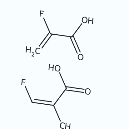 C=C(F)C(=O)O.CC(=CF)C(=O)O